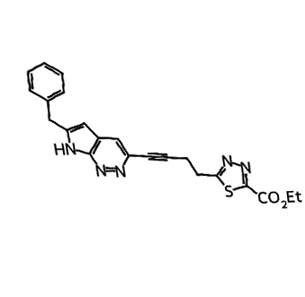 CCOC(=O)c1nnc(CCC#Cc2cc3cc(Cc4ccccc4)[nH]c3nn2)s1